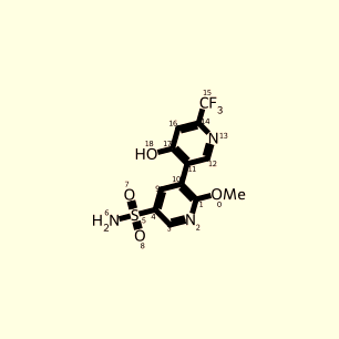 COc1ncc(S(N)(=O)=O)cc1-c1cnc(C(F)(F)F)cc1O